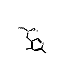 CCCCN(C)Cc1cnc(F)cc1I